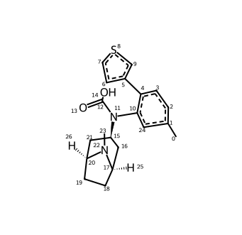 Cc1ccc(-c2ccsc2)c(N(C(=O)O)[C@H]2C[C@H]3CC[C@@H](C2)N3C)c1